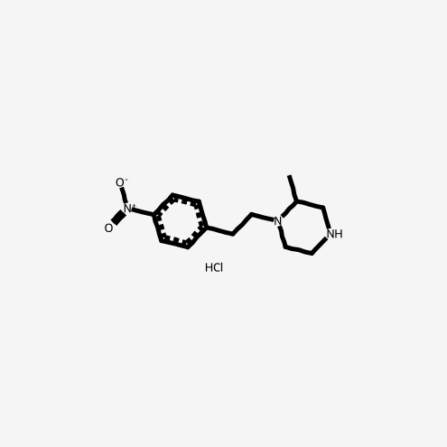 CC1CNCCN1CCc1ccc([N+](=O)[O-])cc1.Cl